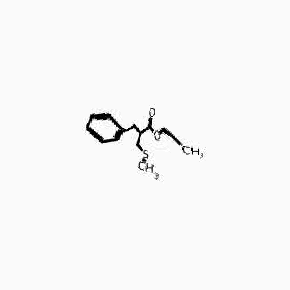 CCOC(=O)C(CSC)Cc1ccccc1